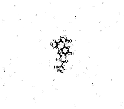 O=C(NCCOc1nonc1-c1noc(=O)n1-c1ccc(F)c(Cl)c1)c1nnn[nH]1